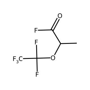 CC(OC(F)(F)C(F)(F)F)C(=O)F